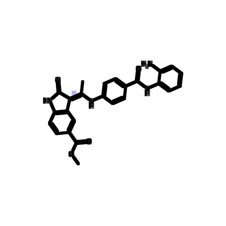 COC(=O)c1ccc2c(c1)/C(=C(/C)Nc1ccc(C(=O)Nc3ccccc3N)cc1)C(=O)N2